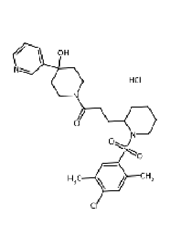 Cc1cc(S(=O)(=O)N2CCCCC2CCC(=O)N2CCC(O)(c3cccnc3)CC2)c(C)cc1Cl.Cl